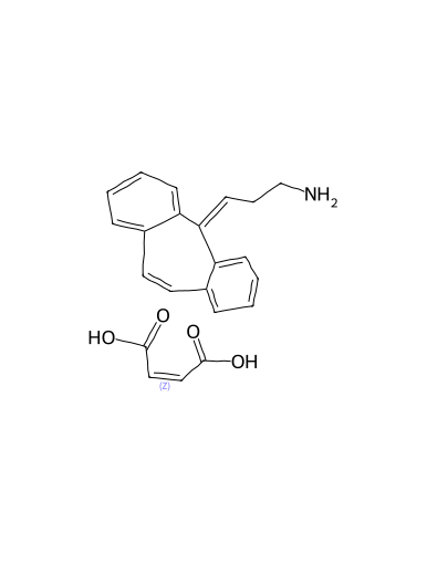 NCCC=C1c2ccccc2C=Cc2ccccc21.O=C(O)/C=C\C(=O)O